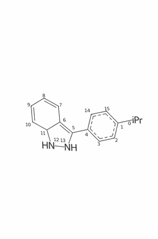 CC(C)c1ccc(C2=C3C=CC=CC3NN2)cc1